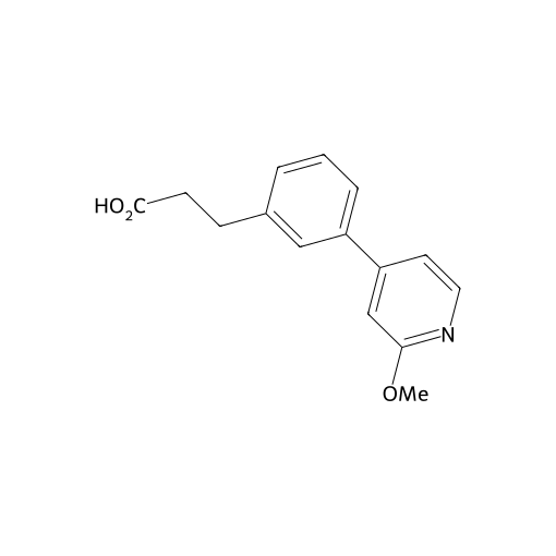 COc1cc(-c2cccc(CCC(=O)O)c2)ccn1